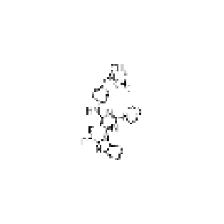 CN(C)Cc1ccc(Nc2cc(-n3c(C(F)F)nc4ccccc43)nc(N3CCOCC3)n2)cc1